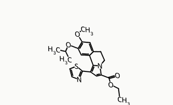 CCOC(=O)c1cc(-c2nccs2)c2n1CCc1cc(OC)c(OC(C)C)cc1-2